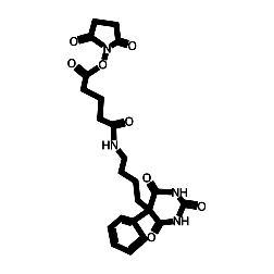 O=C(CCCC(=O)ON1C(=O)CCC1=O)NCCCCC1(c2ccccc2)C(=O)NC(=O)NC1=O